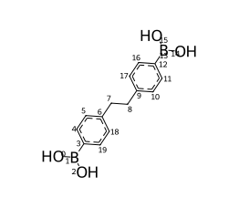 OB(O)c1ccc(CCc2ccc(B(O)O)cc2)cc1